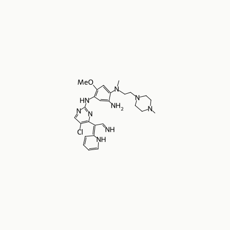 COc1cc(N(C)CCN2CCN(C)CC2)c(N)cc1Nc1ncc(Cl)c(/C(C=N)=C2\C=CC=CN2)n1